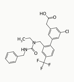 CCN(Cc1cc(C(F)(F)F)ccc1-c1cc(Cl)cc(CC(=O)O)c1)C(=O)NCc1ccccc1